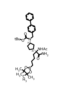 CC(=O)NC(CCCCB1OC(C)(C)C(C)(C)O1)(C(N)=O)[C@@H]1CC[C@H](N(Cc2ccc(-c3ccccc3)cc2)C(=O)OC(C)(C)C)C1